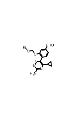 CCOCOc1cc(C=O)ccc1-c1nnc(N)nc1C1CC1